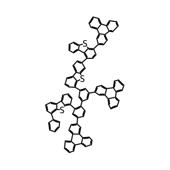 c1ccc(-c2cccc3c2sc2c(-c4cc(-c5ccc6c7ccccc7c7ccccc7c6c5)ccc4-c4cc(-c5ccc6c7ccccc7c7ccccc7c6c5)cc(-c5cccc6c5sc5cc(-c7ccc(-c8ccc9c%10ccccc%10c%10ccccc%10c9c8)c8sc9ccccc9c78)ccc56)c4)cccc23)cc1